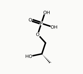 [CH2][C@H](O)COP(=O)(O)O